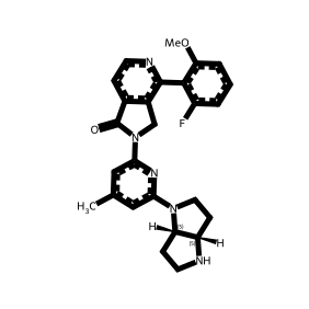 COc1cccc(F)c1-c1nccc2c1CN(c1cc(C)cc(N3CC[C@@H]4NCC[C@@H]43)n1)C2=O